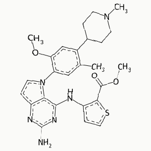 COC(=O)c1sccc1Nc1nc(N)nc2ccn(-c3cc(C)c(C4CCN(C)CC4)cc3OC)c12